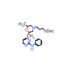 CCCCCCCCCCCCCN1CC(C)OC(C)C1.c1ccc(Nc2ncccn2)cc1